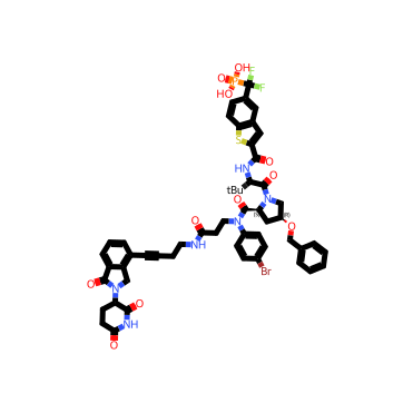 CC(C)(C)C(NC(=O)c1cc2cc(C(F)(F)P(=O)(O)O)ccc2s1)C(=O)N1C[C@H](OCc2ccccc2)C[C@H]1C(=O)N(CCC(=O)NCCC#Cc1cccc2c1CN(C1CCC(=O)NC1=O)C2=O)c1ccc(Br)cc1